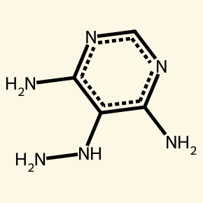 NNc1c(N)ncnc1N